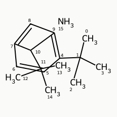 CC(C)(C)c1ccc2cc1C2C(C)(C)C.N